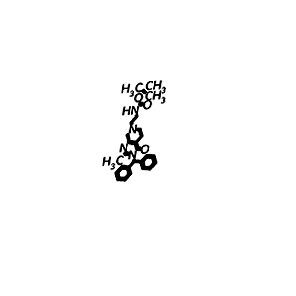 Cc1nc2c(c(=O)n1C(c1ccccc1)c1ccccc1)CCN(CCNC(=O)OC(C)(C)C)C2